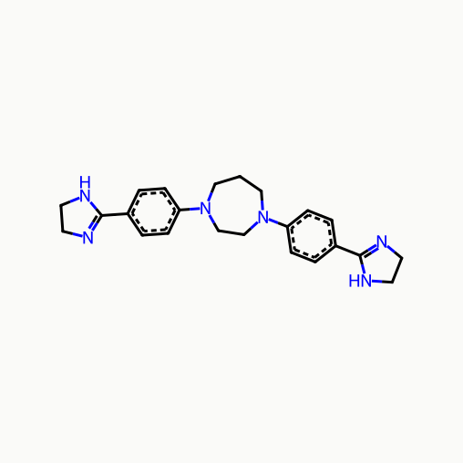 c1cc(N2CCCN(c3ccc(C4=NCCN4)cc3)CC2)ccc1C1=NCCN1